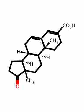 C[C@]12CCC(C(=O)O)=CC1=CC[C@@H]1[C@@H]2CC[C@]2(C)C(=O)CC[C@@H]12